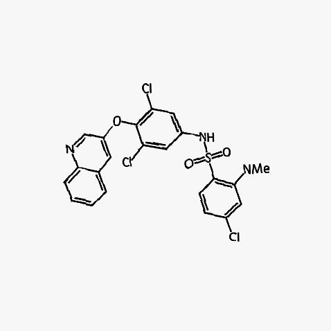 CNc1cc(Cl)ccc1S(=O)(=O)Nc1cc(Cl)c(Oc2cnc3ccccc3c2)c(Cl)c1